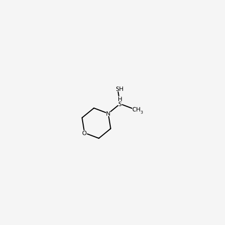 C[SH](S)N1CCOCC1